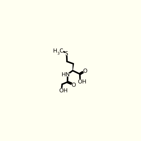 CSCC[C@H](NC(=O)CO)C(=O)O